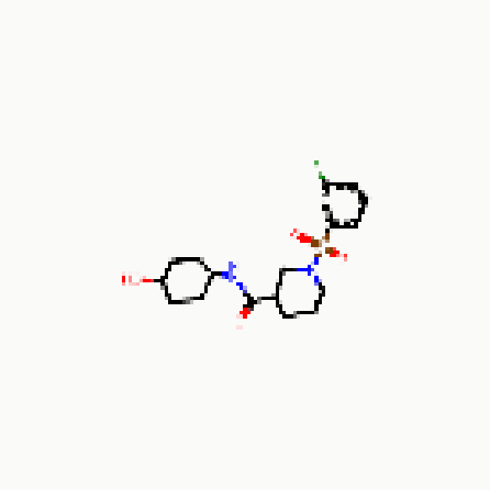 O=C(NC1CCC(O)CC1)C1CCCN(S(=O)(=O)c2cccc(F)c2)C1